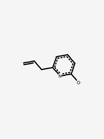 C=CCc1cccc([O])n1